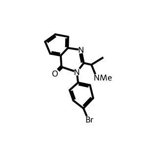 CNC(C)c1nc2ccccc2c(=O)n1-c1ccc(Br)cc1